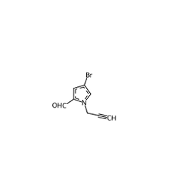 C#CCn1cc(Br)cc1C=O